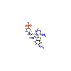 Cc1nc(N)nc(-c2cc(CN3CCN(S(C)(=O)=O)CC3)cnc2N2CSc3cc(N)ccc32)n1